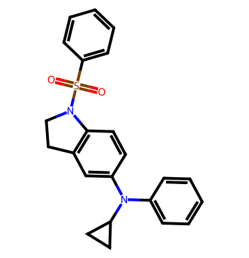 O=S(=O)(c1ccccc1)N1CCc2cc(N(c3ccccc3)C3CC3)ccc21